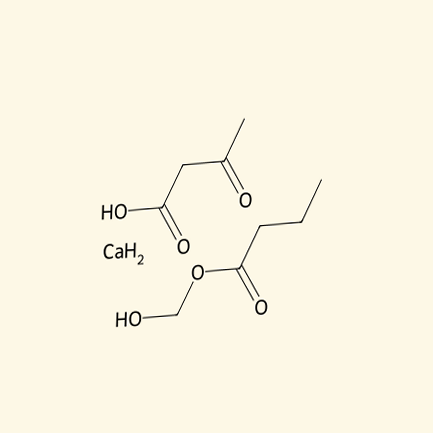 CC(=O)CC(=O)O.CCCC(=O)OCO.[CaH2]